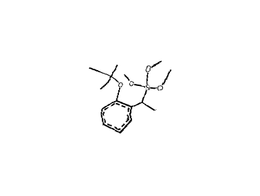 CO[Si](OC)(OC)C(C)c1ccccc1OC(C)(C)C